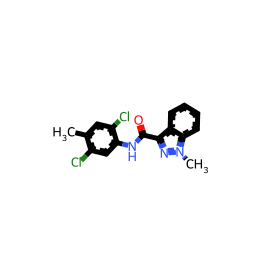 Cc1cc(Cl)c(NC(=O)c2nn(C)c3ccccc23)cc1Cl